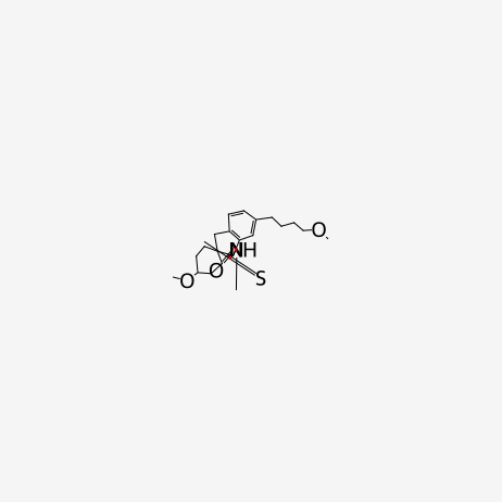 COCCCCc1ccc2c(c1)C1(NC(=S)N(C)C1=O)C1(CCC(OC)CC1)C2